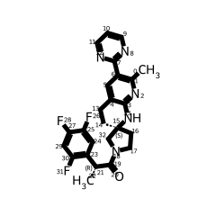 Cc1nc2c(cc1-c1ncccn1)CC[C@@]1(CCN(C(=O)[C@H](C)c3cc(F)c(F)cc3F)C1)N2